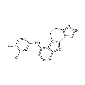 Fc1ccc(Nc2ncnc3sc4c(c23)CCc2n[nH]cc2-4)cc1Cl